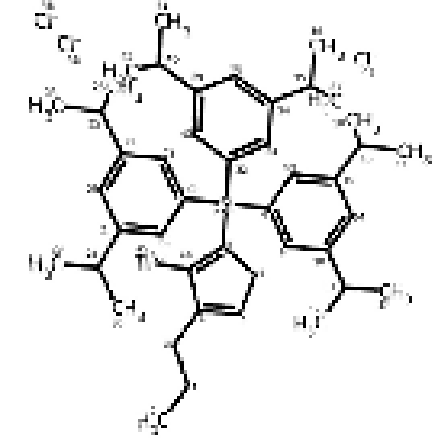 CCCC1=CCC([Si](c2cc(C(C)C)cc(C(C)C)c2)(c2cc(C(C)C)cc(C(C)C)c2)c2cc(C(C)C)cc(C(C)C)c2)=[C]1[Ti+3].[Cl-].[Cl-].[Cl-]